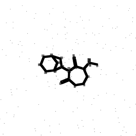 C=C1CCCC(NC)C(=O)N1C1CC2CCCC1C2